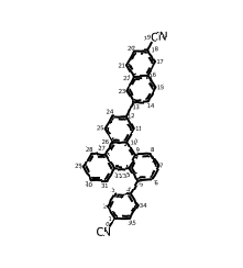 [C-]#[N+]c1ccc(-c2cccc3c4cc(-c5ccc6cc(C#N)ccc6c5)ccc4c4ccccc4c23)cc1